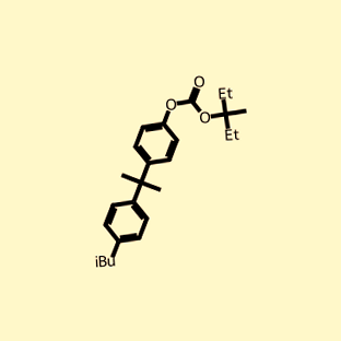 CCC(C)c1ccc(C(C)(C)c2ccc(OC(=O)OC(C)(CC)CC)cc2)cc1